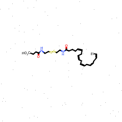 CC/C=C\C/C=C\C/C=C\C/C=C\C/C=C\CCCC(=O)NCCSSCCNC(=O)CCC(=O)O